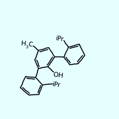 Cc1cc(-c2ccccc2C(C)C)c(O)c(-c2ccccc2C(C)C)c1